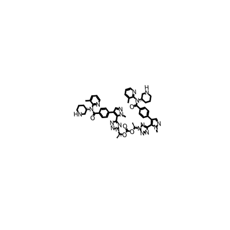 Cc1cccnc1N(C(=O)c1ccc(-c2cnn(C)c2-c2nnn([C@H](C)OC(=O)O[C@@H](C)n3nnc(-c4c(-c5ccc(C(=O)N(c6ncccc6C)[C@@H]6CCCNC6)cc5)cnn4C)n3)n2)cc1)[C@@H]1CCCNC1